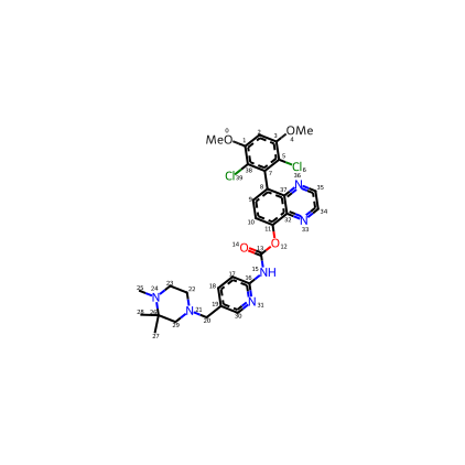 COc1cc(OC)c(Cl)c(-c2ccc(OC(=O)Nc3ccc(CN4CCN(C)C(C)(C)C4)cn3)c3nccnc23)c1Cl